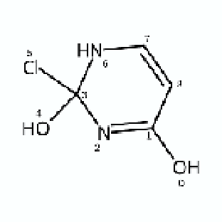 OC1=NC(O)(Cl)NC=C1